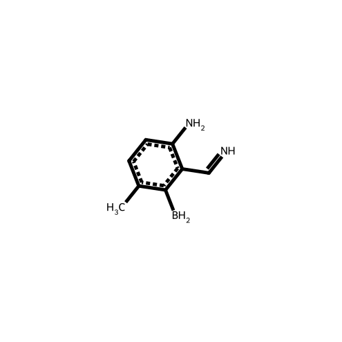 Bc1c(C)ccc(N)c1C=N